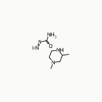 CC1CN(C)CCN1.N=NC(N)=O